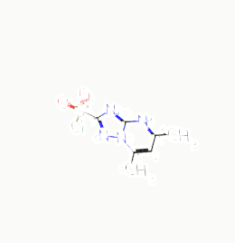 Cc1cc(C)n2nc(S(=O)(=O)Cl)nc2n1